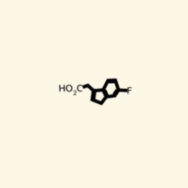 O=C(O)CC1=CCc2cc(F)ccc21